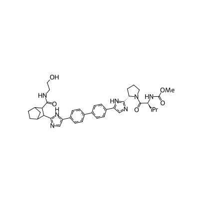 COC(=O)N[C@H](C(=O)N1CCC[C@H]1c1ncc(-c2ccc(-c3ccc(-c4cnc(C5C6CCC(C6)C5C(=O)NCCO)[nH]4)cc3)cc2)[nH]1)C(C)C